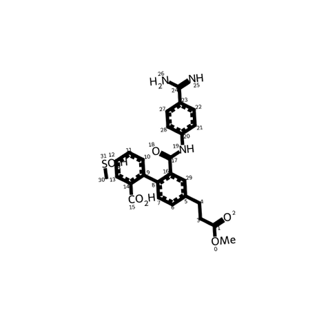 COC(=O)CCc1ccc(-c2ccccc2C(=O)O)c(C(=O)Nc2ccc(C(=N)N)cc2)c1.CS(=O)(=O)O